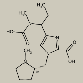 CCC(c1cn(C[C@@H]2CCCN2C)cn1)N(C)C(=O)O.O=CO